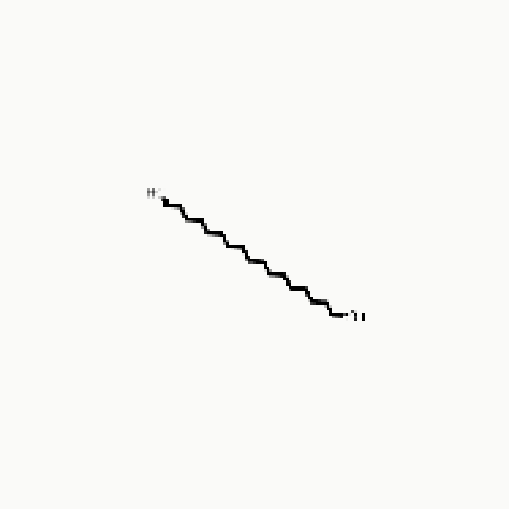 [CH]=CCCCCCCCCCCCCCCCCC(C)(C)C